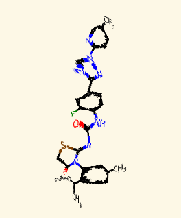 COC(C)c1ccc(C)cc1N1C(=O)CSC1=NC(=O)Nc1ccc(-c2ncn(-c3ccc(C(F)(F)F)cn3)n2)cc1F